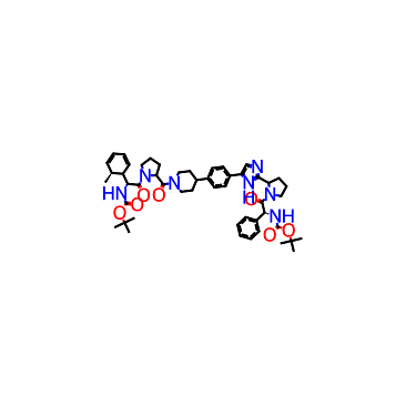 C[C@H]1C=CC=CC1[C@H](NC(=O)OC(C)(C)C)C(=O)N1CCCC1C(=O)N1CCC(c2ccc(-c3cnc(C4CCCN4C(=O)[C@H](NC(=O)OC(C)(C)C)c4ccccc4)[nH]3)cc2)CC1